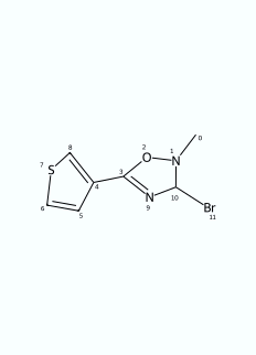 CN1OC(c2ccsc2)=NC1Br